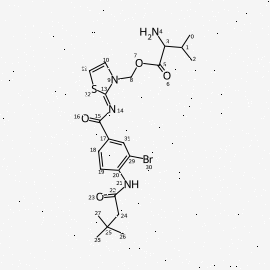 CC(C)C(N)C(=O)OCn1ccsc1=NC(=O)c1ccc(NC(=O)CC(C)(C)C)c(Br)c1